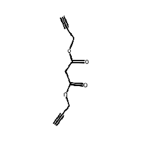 C#CCOC(=O)CC(=O)OCC#C